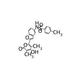 Cc1ccc(S(=O)(=O)Nc2ccc3oc(-c4oc(=O)c(C)c(O)c4C)cc3c2)cc1